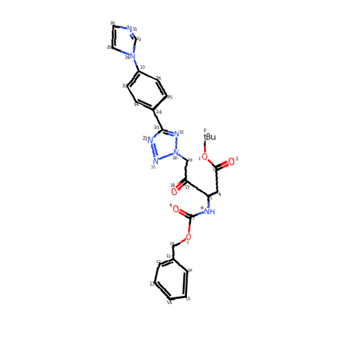 CC(C)(C)OC(=O)CC(NC(=O)OCc1ccccc1)C(=O)Cn1nnc(-c2ccc(-n3ccnc3)cc2)n1